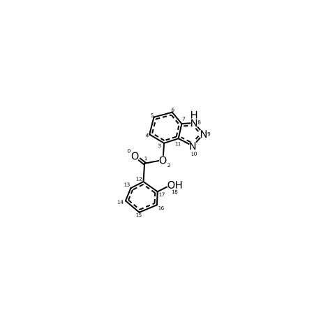 O=C(Oc1cccc2[nH]nnc12)c1ccccc1O